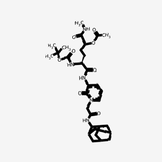 CNC(=O)C(CC[C@H](NC(=O)OC(C)(C)C)C(=O)Nc1cccn(CC(=O)NC2C3CC4CC(C3)CC2C4)c1=O)OC(C)=O